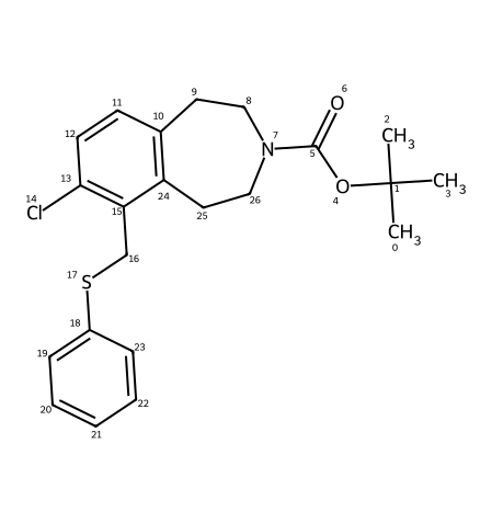 CC(C)(C)OC(=O)N1CCc2ccc(Cl)c(CSc3ccccc3)c2CC1